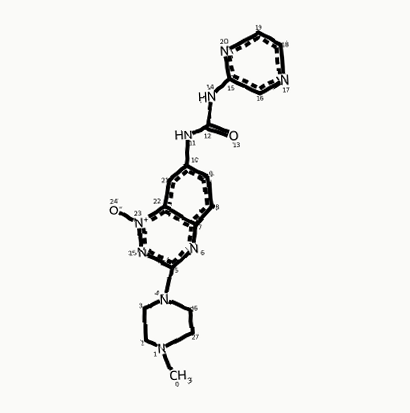 CN1CCN(c2nc3ccc(NC(=O)Nc4cnccn4)cc3[n+]([O-])n2)CC1